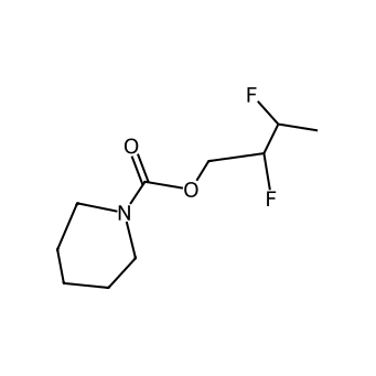 CC(F)C(F)COC(=O)N1CCCCC1